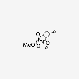 COC(=O)Cn1nc(OC2CC2)c2cc(C3CC3)ccc2c1=O